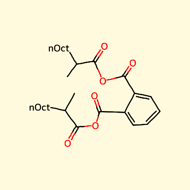 CCCCCCCCC(C)C(=O)OC(=O)c1ccccc1C(=O)OC(=O)C(C)CCCCCCCC